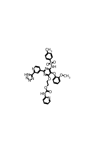 COc1ccccc1Oc1c(NS(=O)(=O)c2ccc(C)cc2)nc(-c2ccnc(-c3nnn[nH]3)c2)nc1OCCOC(=O)Nc1ccccn1